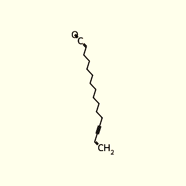 C=CC#CCCCCCCCCCCC=C=O